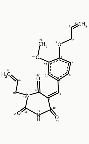 C=CCOc1ccc(/C=C2/C(=O)NC(=O)N(CC=C)C2=O)cc1OC